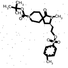 Cc1ccc(S(=O)(=O)OCC[C@H]2CC3(CCN(C(=O)OC(C)(C)C)CC3)C(=O)N2C)cc1